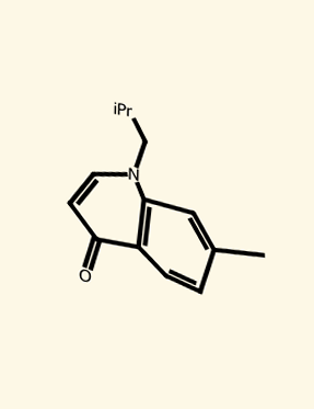 Cc1ccc2c(=O)ccn(CC(C)C)c2c1